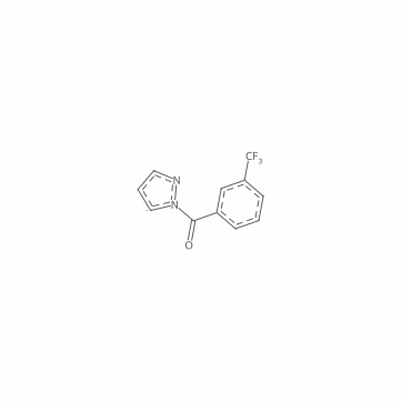 O=C(c1cccc(C(F)(F)F)c1)n1[c]ccn1